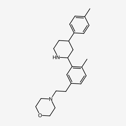 Cc1ccc(C2CCNC(c3cc(CCN4CCOCC4)ccc3C)C2)cc1